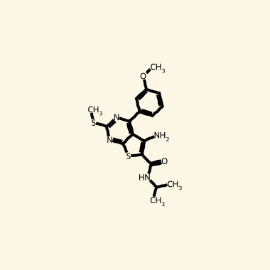 COc1cccc(-c2nc(SC)nc3sc(C(=O)NC(C)C)c(N)c23)c1